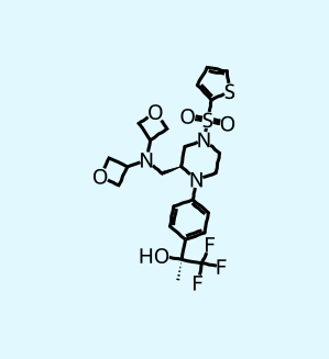 C[C@](O)(c1ccc(N2CCN(S(=O)(=O)c3cccs3)C[C@@H]2CN(C2COC2)C2COC2)cc1)C(F)(F)F